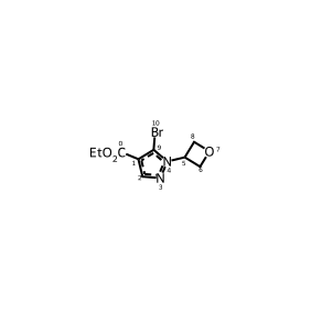 CCOC(=O)c1cnn(C2COC2)c1Br